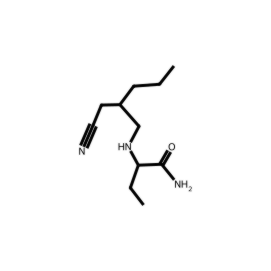 CCCC(CC#N)CNC(CC)C(N)=O